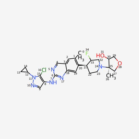 Cc1cc2cnc(Nc3cnn(C4CC4)c3Cl)nc2cc1[C@@H]1CCN([C@]2(C)COCC2O)CC1F